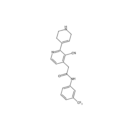 N#Cc1c(CC(=O)Nc2cccc(C(F)(F)F)c2)ccnc1C1=CCNCC1